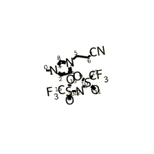 C[n+]1ccn(CCC#N)c1.O=S(=O)([N-]S(=O)(=O)C(F)(F)F)C(F)(F)F